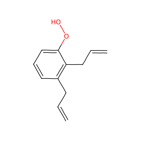 C=CCc1cccc(OO)c1CC=C